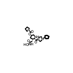 O=C(C[C@@H]1C[C@H](OC(=O)N2CCCC2)CN[C@@H]1C(=O)N1CCN(c2ccccc2)CC1)NO